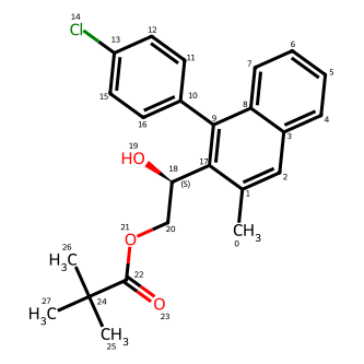 Cc1cc2ccccc2c(-c2ccc(Cl)cc2)c1[C@H](O)COC(=O)C(C)(C)C